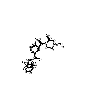 C[C@H]1[C@H](NC(=O)c2cc3c(N4CCN(C)CC4=O)csc3cn2)C2CCN1CC2